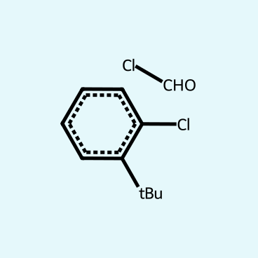 CC(C)(C)c1ccccc1Cl.O=CCl